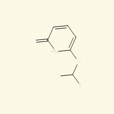 O=c1cccc(OC(F)F)[nH]1